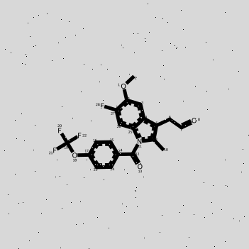 COc1cc2c(C[C]=O)c(C)n(C(=O)c3ccc(OC(F)(F)F)cc3)c2cc1F